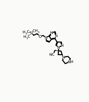 C[Si](C)(C)CCOCn1ccc2c(-c3cnn([C@]4(CC#N)C[C@@H](N5CCNCC5)C4)c3)ncnc21